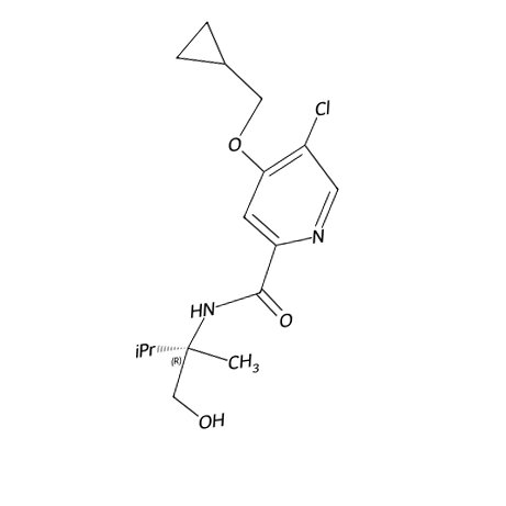 CC(C)[C@](C)(CO)NC(=O)c1cc(OCC2CC2)c(Cl)cn1